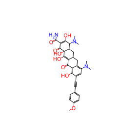 COc1ccc(C#Cc2cc(N(C)C)c3c(c2O)C(=O)C2=C(O)C4(O)C(=O)C(C(N)=O)=C(O)C(N(C)C)C4CC2C3)cc1